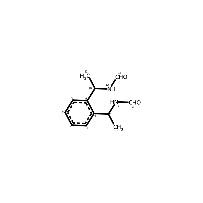 CC(NC=O)c1ccccc1C(C)NC=O